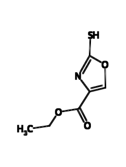 CCOC(=O)c1coc(S)n1